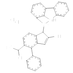 CC1=Cc2c(ccc(C(C)C)c2-c2ccccc2)[CH]1[Zr+2]1[c]2cccc3c2[SiH]1c1ccccc1-3.[Cl-].[Cl-]